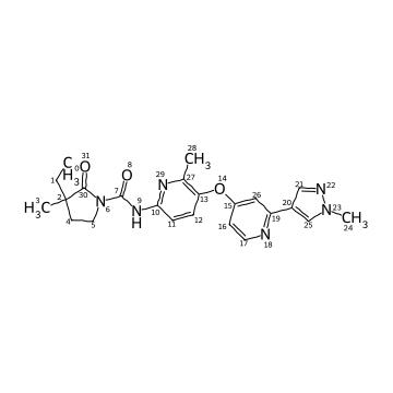 CCC1(C)CCN(C(=O)Nc2ccc(Oc3ccnc(-c4cnn(C)c4)c3)c(C)n2)C1=O